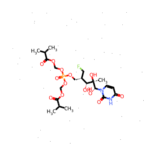 CC(C)C(=O)OCOP(=O)(OCOC(=O)C(C)C)OC[C@H](CF)[C@@H](O)[C@@](C)(O)[C@@H](O)n1ccc(=O)[nH]c1=O